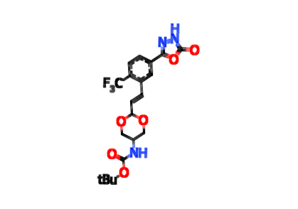 CC(C)(C)OC(=O)NC1COC(/C=C/c2cc(-c3n[nH]c(=O)o3)ccc2C(F)(F)F)OC1